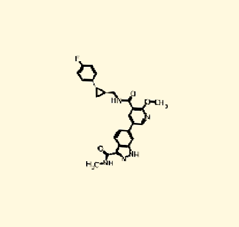 CNC(=O)c1n[nH]c2cc(-c3cnc(OC)c(C(=O)NC[C@H]4C[C@@H]4c4ccc(F)cc4)c3)ccc12